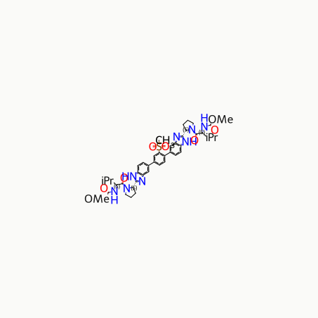 COC(=O)N[C@H](C(=O)N1CCC[C@H]1c1nc2cc(-c3ccc(-c4ccc5[nH]c([C@@H]6CCCN6C(=O)[C@@H](NC(=O)OC)C(C)C)nc5c4)c(S(C)(=O)=O)c3)ccc2[nH]1)C(C)C